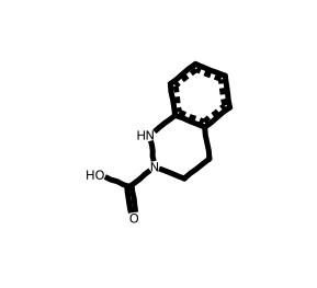 O=C(O)N1CCc2ccccc2N1